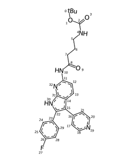 CC(C)(C)OC(=O)NCCCC(=O)Nc1ccc2c(-c3ccncc3)c(-c3ccc(F)cc3)[nH]c2n1